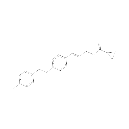 Cc1ccc(CCc2ccc(/C=C/COC(=O)C3CC3)cc2)cc1